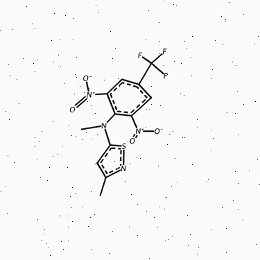 Cc1cc(N(C)c2c([N+](=O)[O-])cc(C(F)(F)F)cc2[N+](=O)[O-])sn1